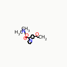 C=CC(=O)c1ccc2c(C(=O)OCCN(C)C)c3ccccn3c2c1